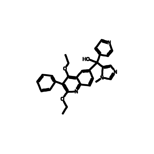 CCOc1nc2ccc(C(O)(c3ccncc3)c3cncn3C)cc2c(OCC)c1-c1ccccc1